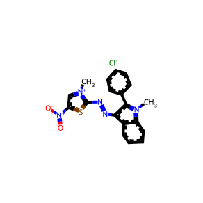 Cn1c(-c2ccccc2)c(N=Nc2sc([N+](=O)[O-])c[n+]2C)c2ccccc21.[Cl-]